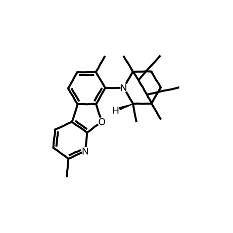 Cc1ccc2c(n1)oc1c(N3[C@@H](C)C4(C)CCC3(C)C(C)C4C)c(C)ccc12